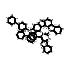 c1ccc(-c2ccc(-c3nc(-n4c5ccccc5c5ccc6sc7cc8c(cc7c6c54)c4ccccc4n8-c4ccc(-c5ccccc5)cc4)nc4c3sc3ccccc34)cc2)cc1